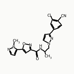 CC(Cn1ccc(-c2ccc(C#N)c(Cl)c2)n1)NC(=O)c1cc(-c2ccnn2C)on1